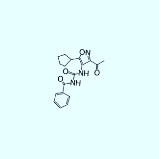 CC(=O)c1noc(C2CCCC2)c1NC(=O)NC(=O)c1ccccc1